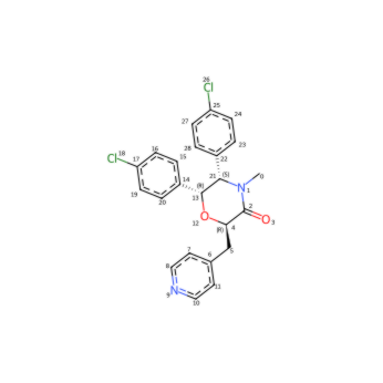 CN1C(=O)[C@@H](Cc2ccncc2)O[C@H](c2ccc(Cl)cc2)[C@@H]1c1ccc(Cl)cc1